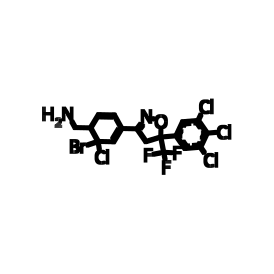 NCC1C=CC(C2=NOC(c3cc(Cl)c(Cl)c(Cl)c3)(C(F)(F)F)C2)=CC1(Cl)Br